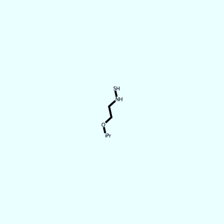 CC(C)OCCNS